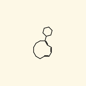 C1=C\C=C\CCCCCC/C(C2CCCCC2)=C/1